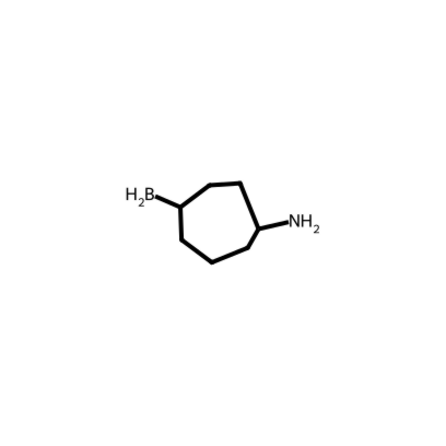 BC1CCCC(N)CC1